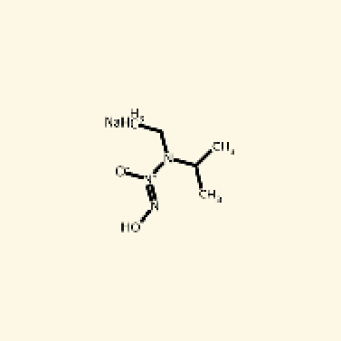 CCN(C(C)C)[N+]([O-])=NO.[NaH]